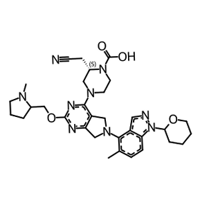 Cc1ccc2c(cnn2C2CCCCO2)c1N1Cc2nc(OCC3CCCN3C)nc(N3CCN(C(=O)O)[C@@H](CC#N)C3)c2C1